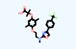 Cc1cc(OC(C)(C)C(=O)O)c(C)cc1OCCN(C)c1nc(-c2ccc(C(F)(F)F)cc2)co1